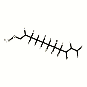 FC(F)C(F)C(F)C(F)(F)C(F)(F)C(F)(F)C(F)(F)C(F)(F)C(F)(F)C(F)CO[SiH3]